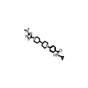 CN(C)c1nsc(N2CCC(C3CCN(c4ccc(C(=O)NC5CC5)cc4)CC3)CC2)n1